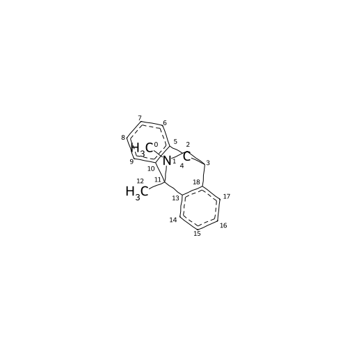 CN1CC2Cc3ccccc3C1(C)c1ccccc12